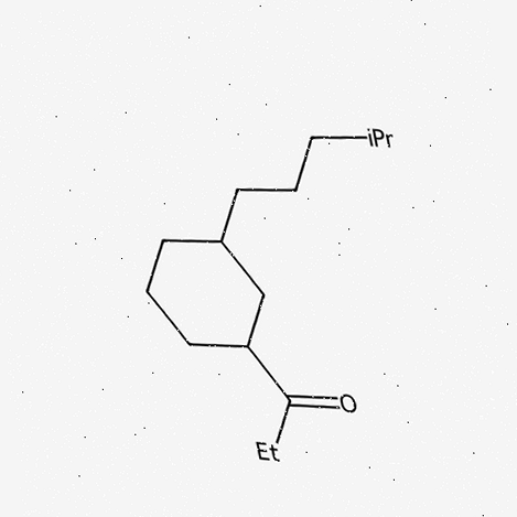 CCC(=O)C1CCCC(CCCC(C)C)C1